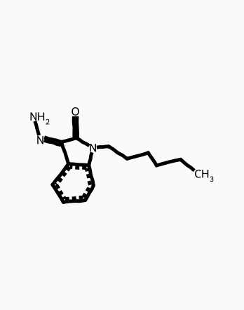 CCCCCCN1C(=O)C(=NN)c2ccccc21